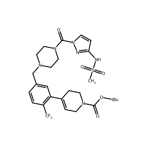 CC(C)(C)OC(=O)N1CC=C(c2cc(CN3CCN(C(=O)n4ccc(NS(C)(=O)=O)n4)CC3)ccc2C(F)(F)F)CC1